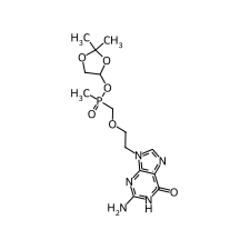 CC1(C)OCC(OP(C)(=O)COCCn2cnc3c(=O)[nH]c(N)nc32)O1